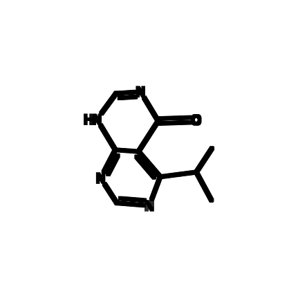 CC(C)c1ncnc2[nH]cnc(=O)c12